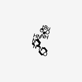 CC(C)(C)OC(=O)NNc1cc(N2CCOCC2)ncn1